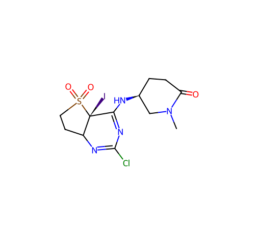 CN1C[C@@H](NC2=NC(Cl)=NC3CCS(=O)(=O)[C@]23I)CCC1=O